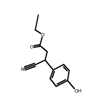 CCOC(=O)CC(C#N)c1ccc(O)cc1